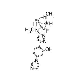 CN1C[C@H]2C[C@@H]1[C@H](F)[C@@H]2N(C)c1nnc(-c2ccc(-n3ccnc3)cc2O)s1